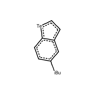 CCC(C)c1ccc2[te]ccc2c1